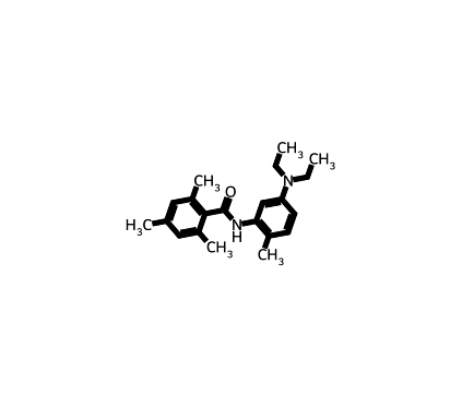 CCN(CC)c1ccc(C)c(NC(=O)c2c(C)cc(C)cc2C)c1